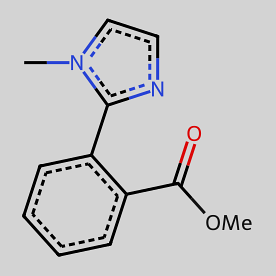 COC(=O)c1ccccc1-c1nccn1C